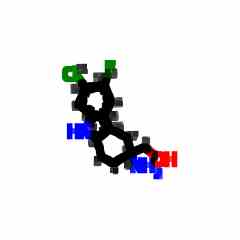 NC1(CO)CCc2[nH]c3cc(Cl)c(F)cc3c2C1